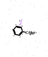 COc1ccccc1.[I-].[I-].[Os+2]